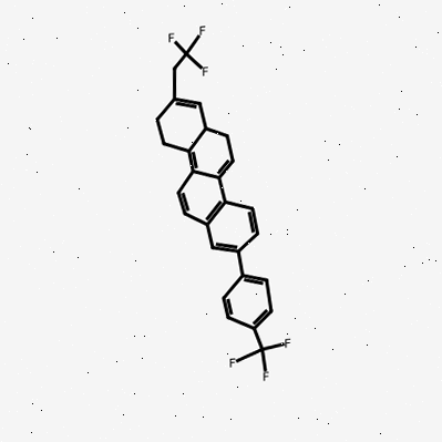 FC(F)(F)CC1=CC2CC=c3c(ccc4cc(-c5ccc(C(F)(F)F)cc5)ccc34)=C2CC1